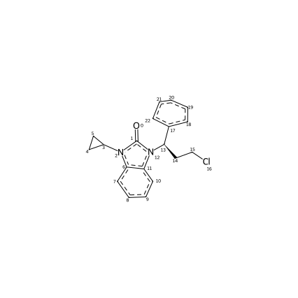 O=c1n(C2CC2)c2ccccc2n1[C@H](CCCl)c1ccccc1